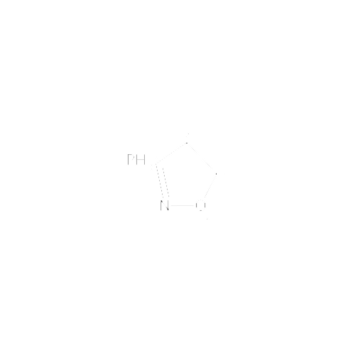 C1=NOCC1.P